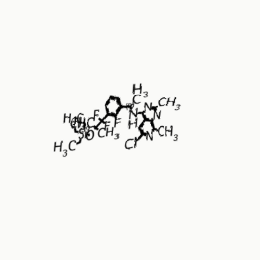 CC[Si](CC)(CC)OC(C)(C)C(F)(F)c1cccc([C@@H](C)Nc2nc(C)nc3c(C)nc(Cl)cc23)c1F